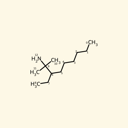 CCCCCCC(CC)C(C)(C)N